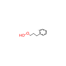 OOCCCc1[c]cccc1